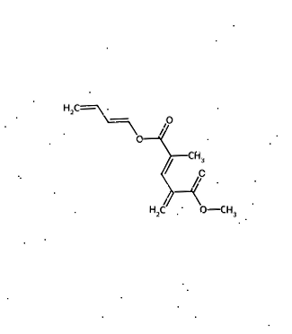 C=CC=COC(=O)C(C)=CC(=C)C(=O)OC